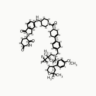 COc1ccc([C@]2(CCN(Cc3ccc(C4=CC[C@H](C(=O)N5CCC(Nc6ccc7c(c6)CN(C6CCC(=O)NC6=O)C7=O)CC5)CC4)cc3)CC(C)(C)C(F)(F)F)CCOC(C)(C)C2)cc1